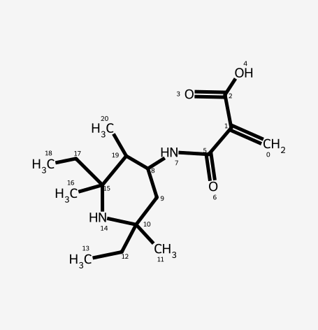 C=C(C(=O)O)C(=O)NC1CC(C)(CC)NC(C)(CC)C1C